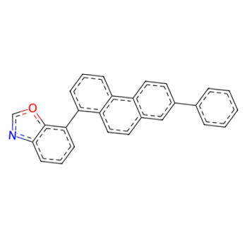 c1ccc(-c2ccc3c(ccc4c(-c5cccc6ncoc56)cccc43)c2)cc1